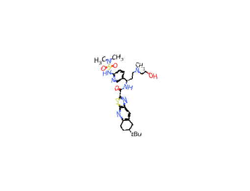 CN(CCO)CC[C@@H](NC(=O)c1nc2cc3c(nc2s1)CC[C@H](C(C)(C)C)C3)c1ccc(NS(=O)(=O)N(C)C)nc1